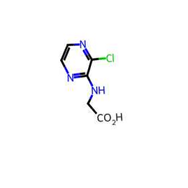 O=C(O)CNc1nccnc1Cl